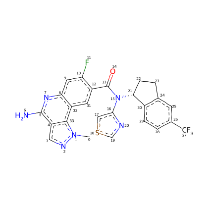 Cn1ncc2c(N)nc3cc(F)c(C(=O)N(c4cscn4)[C@@H]4CCc5cc(C(F)(F)F)ccc54)cc3c21